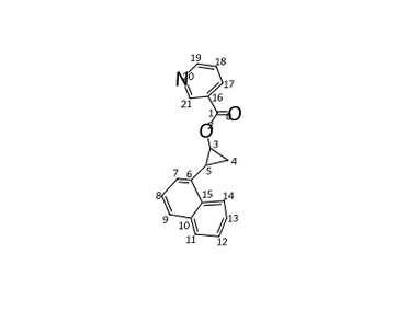 O=C(OC1CC1c1cccc2ccccc12)c1cccnc1